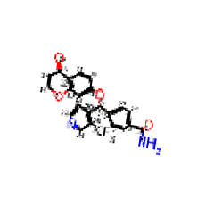 NC(=O)c1ccc([C@H](Oc2ccc3c(c2)OCCC3=O)c2ccncc2C(F)(F)F)cc1